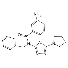 Nc1ccc2c(c1)c(=O)n(Cc1ccccc1)c1nnc(N3CCCC3)n21